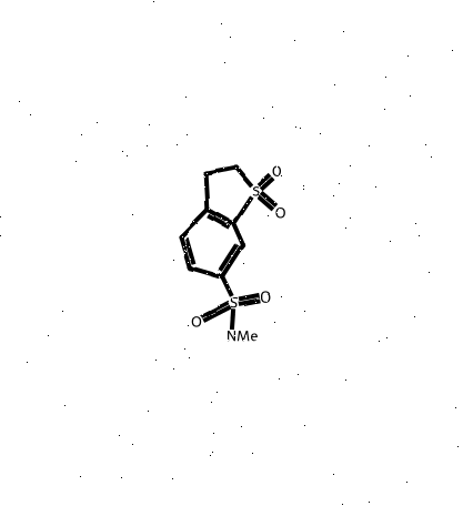 CNS(=O)(=O)c1ccc2c(c1)S(=O)(=O)CC2